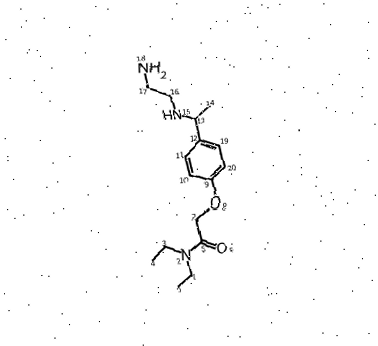 CCN(CC)C(=O)COc1ccc(C(C)NCCN)cc1